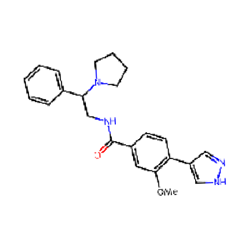 COc1cc(C(=O)NCC(c2ccccc2)N2CCCC2)ccc1-c1cn[nH]c1